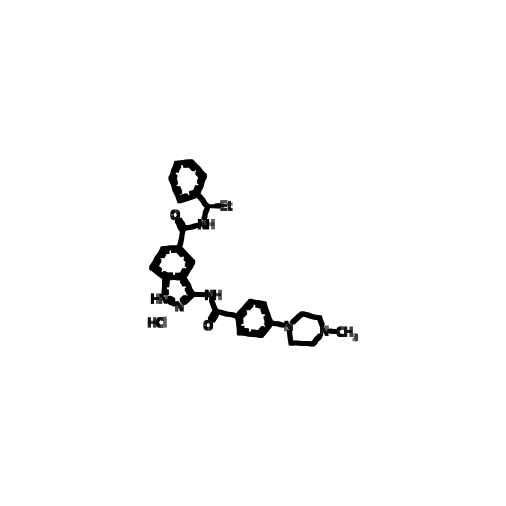 CC[C@@H](NC(=O)c1ccc2[nH]nc(NC(=O)c3ccc(N4CCN(C)CC4)cc3)c2c1)c1ccccc1.Cl